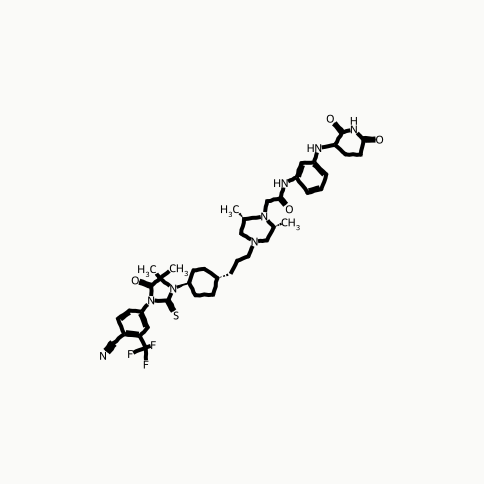 C[C@@H]1CN(CCC[C@H]2CC[C@H](N3C(=S)N(c4ccc(C#N)c(C(F)(F)F)c4)C(=O)C3(C)C)CC2)C[C@H](C)N1CC(=O)Nc1cccc(NC2CCC(=O)NC2=O)c1